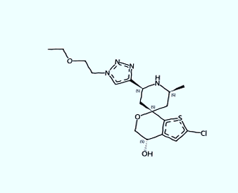 CCOCCn1cc([C@@H]2C[C@]3(C[C@H](C)N2)OC[C@@H](O)c2cc(Cl)sc23)nn1